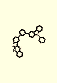 c1ccc(-n2c3ccccc3c3cc(-c4cccc(-c5ccc6sc7nc8ccccc8nc7c6c5)c4)ccc32)cc1